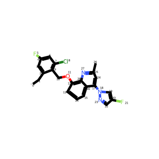 [CH2]Cc1cc(F)cc(Cl)c1COc1cccc2c(-n3cc(F)cn3)cc(C)nc12